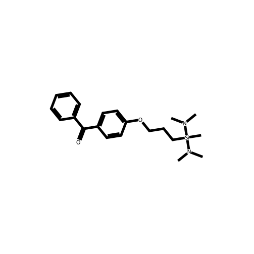 CN(C)[Si](C)(CCCOc1ccc(C(=O)c2ccccc2)cc1)N(C)C